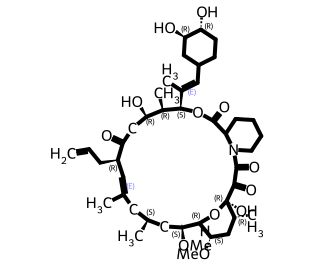 C=CC[C@@H]1/C=C(\C)C[C@H](C)C[C@H](OC)[C@H]2O[C@@](O)(C(=O)C(=O)N3CCCCC3C(=O)O[C@H](/C(C)=C/C3CC[C@@H](O)[C@H](O)C3)[C@H](C)[C@H](O)CC1=O)[C@H](C)C[C@@H]2OC